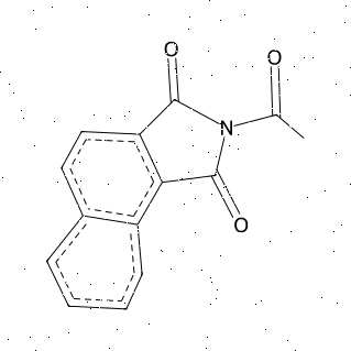 CC(=O)N1C(=O)c2ccc3ccccc3c2C1=O